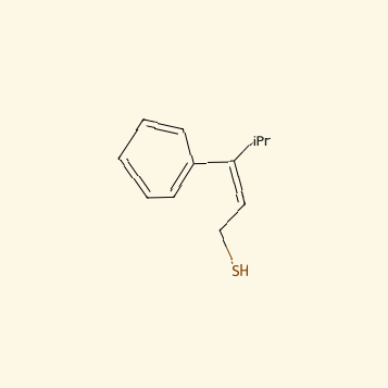 CC(C)/C(=C/CS)c1ccccc1